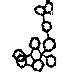 c1ccc(C2(c3cccc(-c4ccc(-c5cccc6cccnc56)cc4)c3)c3ccccc3C3(c4ccccc4)c4ccccc4-c4cccc2c43)cc1